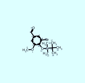 COc1cc(C=O)cc(Br)c1O[Si](C)(C)C(C)(C)C